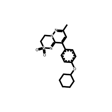 CC1=NN2CCS(=O)(=O)N=C2C(c2ccc(OC3CCCCC3)cc2)=C1